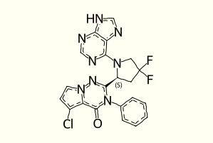 O=c1c2c(Cl)ccn2nc([C@@H]2CC(F)(F)CN2c2ncnc3[nH]cnc23)n1-c1ccccc1